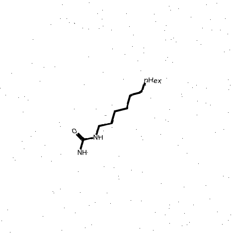 CCCCCCCCCCCCNC([NH])=O